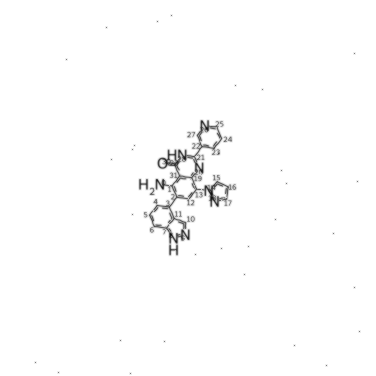 Nc1c(-c2cccc3[nH]ncc23)cc(-n2cccn2)c2nc(-c3cccnc3)[nH]c(=O)c12